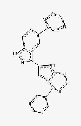 c1cncc(-c2nccc3[nH]c(-c4n[nH]c5ccc(-c6cnccn6)cc45)cc23)c1